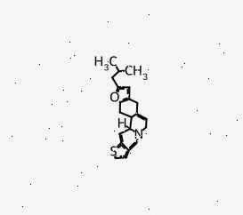 CC(C)Cc1cc2c(o1)CC1C(=CCN3C=c4ccsc4=C[C@H]13)C2